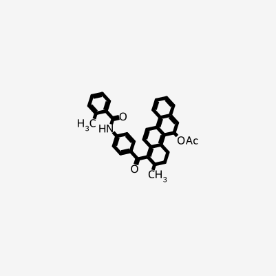 CC(=O)OC1C=c2ccccc2=c2ccc3c(c21)CCC(C)C=3C(=O)c1ccc(NC(=O)c2ccccc2C)cc1